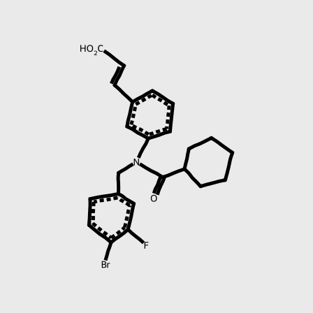 O=C(O)C=Cc1cccc(N(Cc2ccc(Br)c(F)c2)C(=O)C2CCCCC2)c1